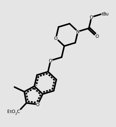 CCOC(=O)c1oc2ccc(OCC3CN(C(=O)OC(C)(C)C)CCO3)cc2c1C